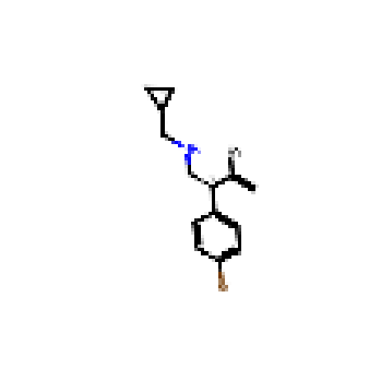 C=C(C(C)C)[C@H](CNCC1CC1)c1ccc(Br)cc1